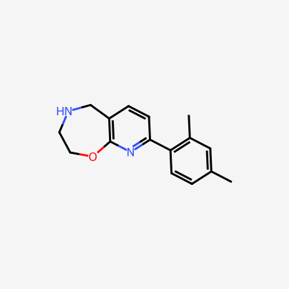 Cc1ccc(-c2ccc3c(n2)OCCNC3)c(C)c1